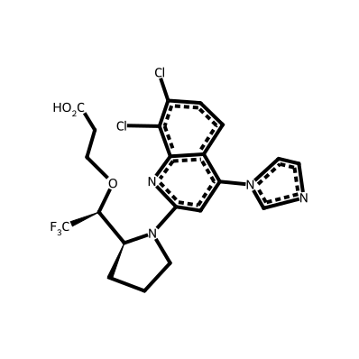 O=C(O)CCO[C@@H]([C@@H]1CCCN1c1cc(-n2ccnc2)c2ccc(Cl)c(Cl)c2n1)C(F)(F)F